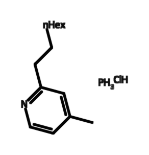 CCCCCCCCc1cc(C)ccn1.Cl.P